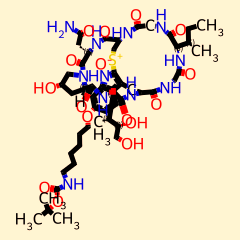 CC[C@H](C)[C@@H]1NC(=O)CNC(=O)C2Cc3c([nH]c4cc(OCCCCCCNC(=O)OC(C)(C)C)ccc34)[S+]([O-])CC(NC(=O)CNC1=O)C(=O)N[C@@H](CC(N)=O)C(=O)N1CC(O)C[C@H]1C(=O)N[C@@H]([C@@H](C)[C@@H](O)CO)C(=O)N2